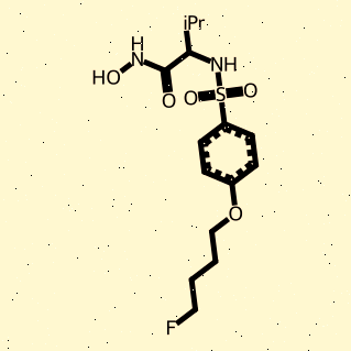 CC(C)C(NS(=O)(=O)c1ccc(OCCCCF)cc1)C(=O)NO